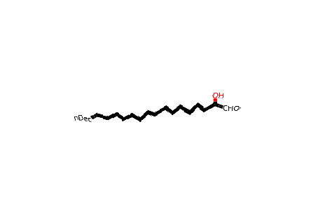 CCCCCCCCCCCCCCCCCCCCCCCCC(O)[C]=O